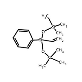 C=C[Si](O[Si](C)(C)C)(O[Si](C)(C)C)c1ccccc1